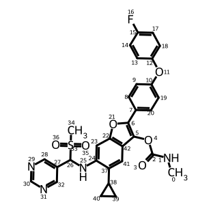 CNC(=O)Oc1c(-c2ccc(Oc3ccc(F)cc3)cc2)oc2cc(NC(c3cncnc3)S(C)(=O)=O)c(C3CC3)cc12